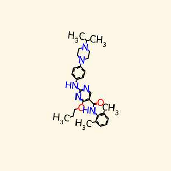 CCCOc1nc(Nc2ccc(N3CCN(C(C)C)CC3)cc2)ncc1C(=O)Nc1c(C)cccc1C